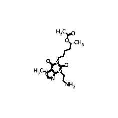 CC(=O)O[C@H](C)CCCCn1c(=O)c2c(ncn2C)n(CCN)c1=O